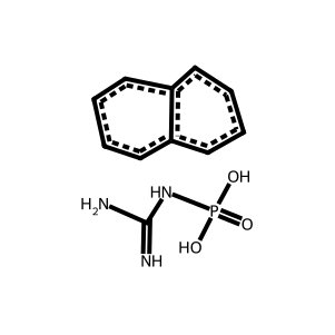 N=C(N)NP(=O)(O)O.c1ccc2ccccc2c1